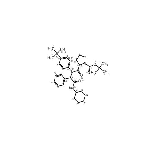 CC(C)(C)OC(=O)N1CC[C@@H](F)[C@@H]1C(=O)N(c1ccc(C(C)(C)C)cc1)C(C(=O)NC1CCCCC1)c1cccnc1